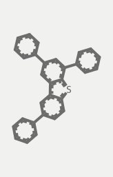 c1ccc(-c2ccc3sc4c(-c5ccccc5)cc(-c5ccccc5)cc4c3c2)cc1